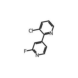 Fc1cc(-c2ncccc2Cl)ccn1